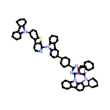 C1=CC2c3ccc4c5ccccc5n(-c5nc(-c6ccccc6)nc(-c6ccc(-c7ccc8c(c7)c7ccccc7n8-c7nccc8c7sc7ccc(-n9c%10ccccc%10c%10ccccc%109)cc78)cc6)n5)c4c3N(c3ccccc3)C2C=C1